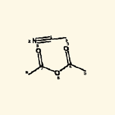 CC#N.CC(=O)OC(C)=O